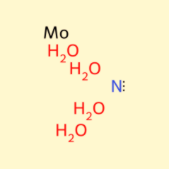 O.O.O.O.[Mo].[N]